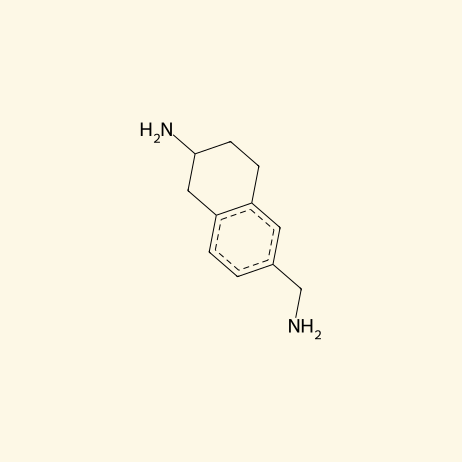 NCc1ccc2c(c1)CCC(N)C2